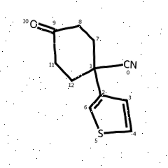 N#CC1(c2ccsc2)CCC(=O)CC1